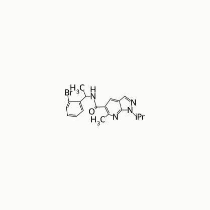 Cc1nc2c(cnn2C(C)C)cc1C(=O)NC(C)c1ccccc1Br